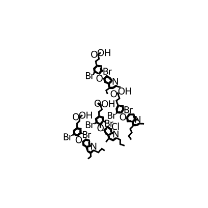 CCCCc1cc(C)nc2ccc(Oc3c(Br)cc(CCC(=O)O)cc3Br)cc12.CCCc1cc(C)c2cc(Oc3c(Br)cc(CCC(=O)O)cc3Br)cc(Cl)c2n1.CCCc1nc2ccc(Oc3c(Br)cc(CCC(=O)O)cc3Br)cc2cc1CC.CCc1cc(C)nc2ccc(Oc3c(Br)cc(CCC(=O)O)cc3Br)cc12